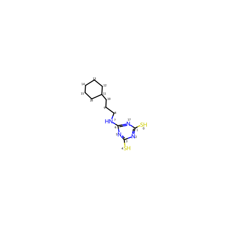 Sc1nc(S)nc(NCCCC2CCCCC2)n1